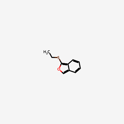 CCSc1occ2ccccc12